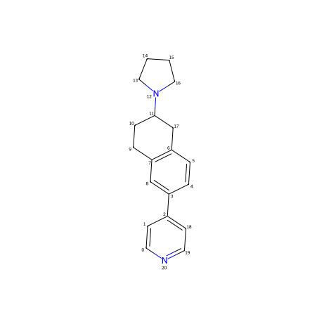 c1cc(-c2ccc3c(c2)CCC(N2CCCC2)C3)ccn1